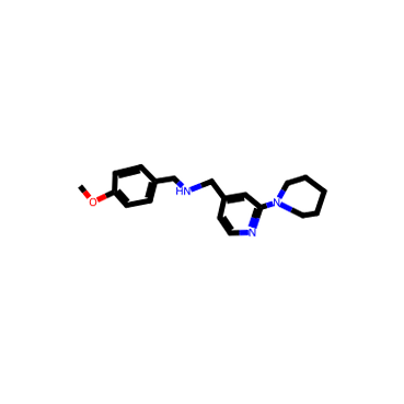 COc1ccc(CNCc2ccnc(N3CCCCC3)c2)cc1